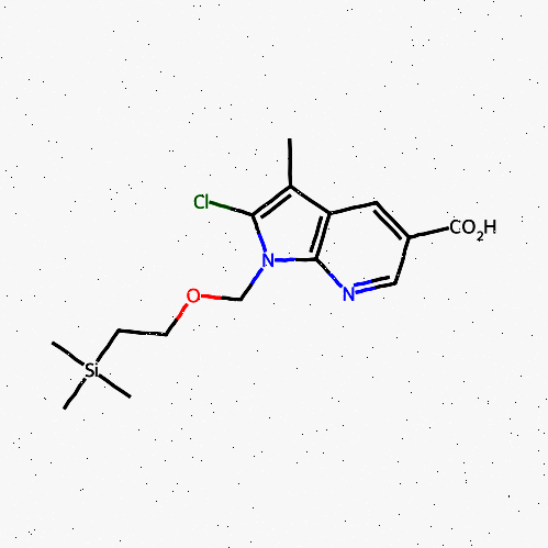 Cc1c(Cl)n(COCC[Si](C)(C)C)c2ncc(C(=O)O)cc12